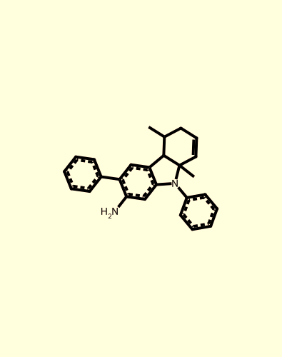 CC1CC=CC2(C)C1c1cc(-c3ccccc3)c(N)cc1N2c1ccccc1